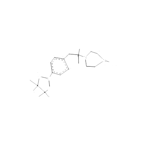 CC(C)(Cc1ccc(B2OC(C)(C)C(C)(C)O2)cc1)N1CCN(C(=O)O)CC1